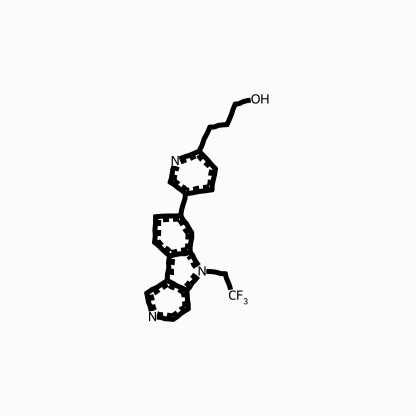 OCCCc1ccc(-c2ccc3c4cnccc4n(CC(F)(F)F)c3c2)cn1